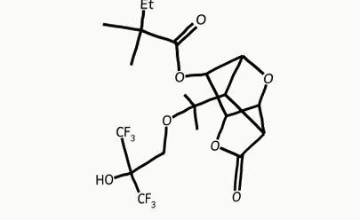 CCC(C)(C)C(=O)OC1C2OC(=O)C3C2OC1C3C(C)(C)OCC(O)(C(F)(F)F)C(F)(F)F